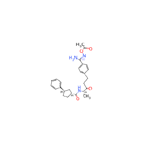 CC(=O)O/N=C(\N)c1ccc(CCC(=O)[C@H](C)NC(=O)[C@@H]2CC[C@@H](c3ccccc3)C2)cc1